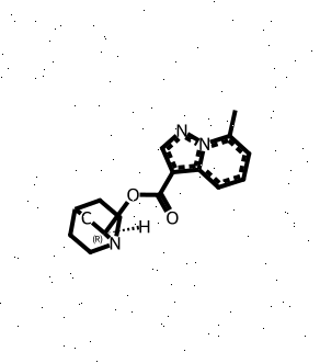 Cc1cccc2c(C(=O)O[C@@H]3CC4CCN3CC4)cnn12